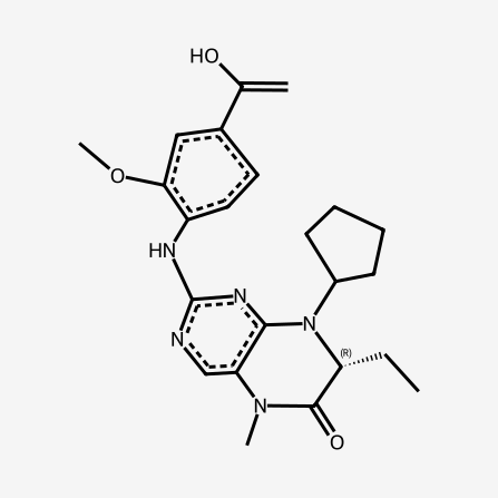 C=C(O)c1ccc(Nc2ncc3c(n2)N(C2CCCC2)[C@H](CC)C(=O)N3C)c(OC)c1